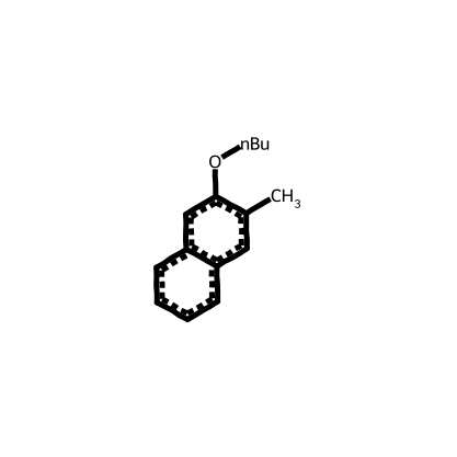 CCCCOc1cc2ccccc2cc1C